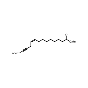 CCCCCC#CC/C=C\CCCCCCCC(=O)OC